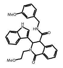 COCCN1C(=O)c2ccccc2C(C(=O)NCc2cccc(OC)c2)C1c1c[nH]c2ccccc12